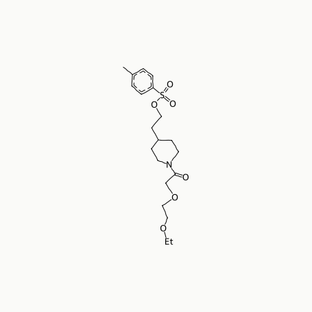 CCOCCOCC(=O)N1CCC(CCOS(=O)(=O)c2ccc(C)cc2)CC1